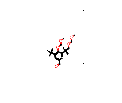 COCOCC(C)(C)c1cc(C=O)cc(C(C)(C)C)c1OCOC